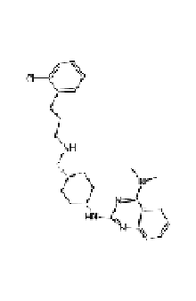 CN(C)c1nc(N[C@H]2CC[C@@H](CNCCCc3ccccc3Cl)CC2)nc2ccccc12